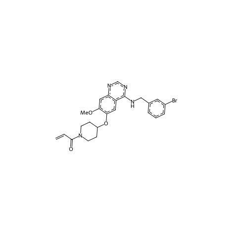 C=CC(=O)N1CCC(Oc2cc3c(NCc4cccc(Br)c4)ncnc3cc2OC)CC1